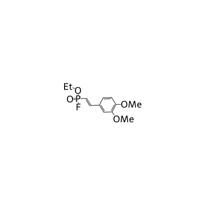 CCOP(=O)(F)/C=C/c1ccc(OC)c(OC)c1